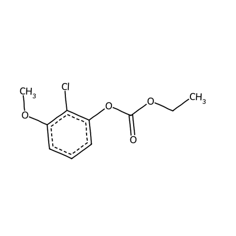 CCOC(=O)Oc1cccc(OC)c1Cl